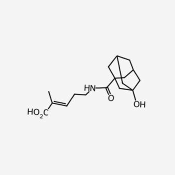 C/C(=C\CCNC(=O)C12CC3CC(CC(O)(C3)C1)C2)C(=O)O